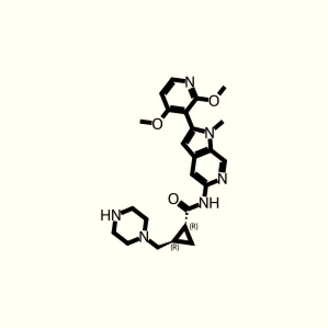 COc1ccnc(OC)c1-c1cc2cc(NC(=O)[C@@H]3C[C@H]3CN3CCNCC3)ncc2n1C